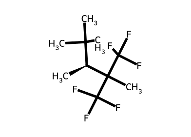 C[C@@H](C(C)(C)C)C(C)(C(F)(F)F)C(F)(F)F